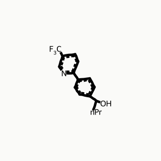 CCCC(O)c1ccc(-c2ccc(C(F)(F)F)cn2)cc1